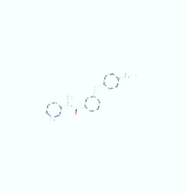 O=C(Nc1cccnc1)c1cccc(Cc2ccc([N+](=O)[O-])cc2)c1